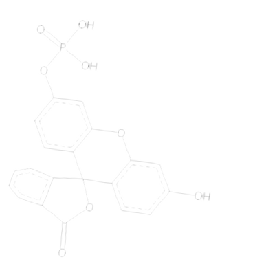 O=C1OC2(c3ccc(O)cc3Oc3cc(OP(=O)(O)O)ccc32)c2ccccc21